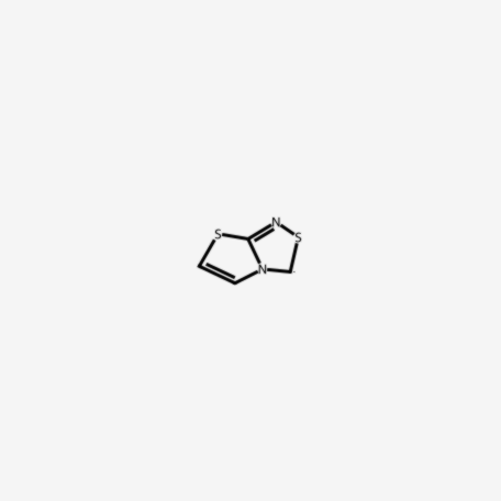 [CH]1SN=C2SC=CN12